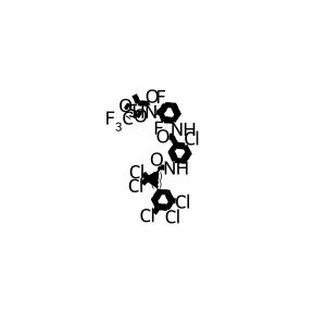 CC(C(=O)Nc1c(F)ccc(NC(=O)c2cc(NC(=O)[C@H]3[C@H](c4cc(Cl)c(Cl)c(Cl)c4)C3(Cl)Cl)ccc2Cl)c1F)S(=O)(=O)C(F)(F)F